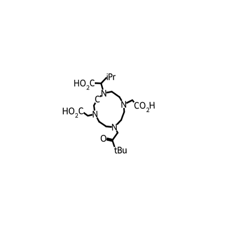 CC(C)C(C(=O)O)N1CCN(CC(=O)O)CCN(CC(=O)C(C)(C)C)CCN(CC(=O)O)CC1